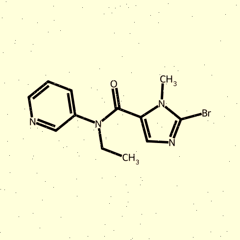 CCN(C(=O)c1cnc(Br)n1C)c1cccnc1